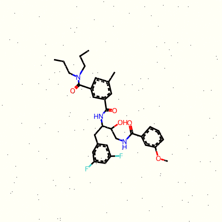 CCCN(CCC)C(=O)c1cc(C)cc(C(=O)NC(Cc2cc(F)cc(F)c2)C(O)CNC(=O)c2cccc(OC)c2)c1